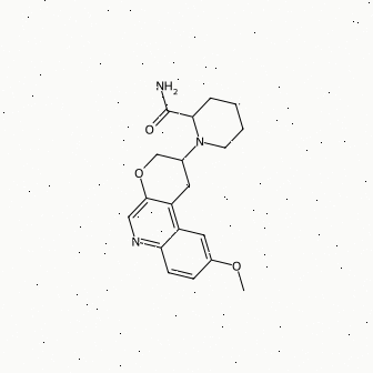 COc1ccc2ncc3c(c2c1)CC(N1CC[CH]CC1C(N)=O)CO3